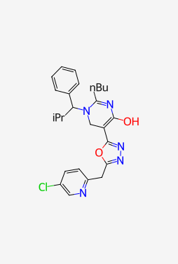 CCCCC1=NC(O)=C(c2nnc(Cc3ccc(Cl)cn3)o2)CN1C(c1ccccc1)C(C)C